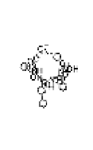 O=C1CCC(=O)NN(Cc2ccccc2)C(=O)N[C@@H](Cc2ccc(-c3ccccc3)cc2)C(=O)N[C@H](Cc2ccccc2)C(=O)N[C@H](C(=O)O)Cc2ccc(cc2)N1